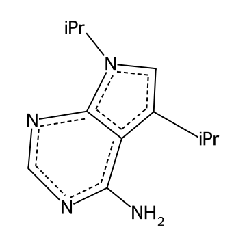 CC(C)c1cn(C(C)C)c2ncnc(N)c12